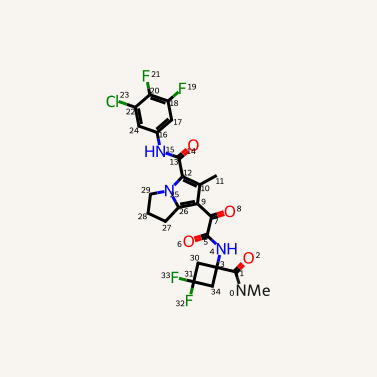 CNC(=O)C1(NC(=O)C(=O)c2c(C)c(C(=O)Nc3cc(F)c(F)c(Cl)c3)n3c2CCC3)CC(F)(F)C1